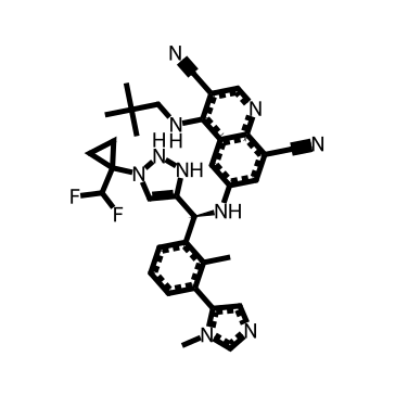 Cc1c(-c2cncn2C)cccc1[C@H](Nc1cc(C#N)c2ncc(C#N)c(NCC(C)(C)C)c2c1)C1=CN(C2(C(F)F)CC2)NN1